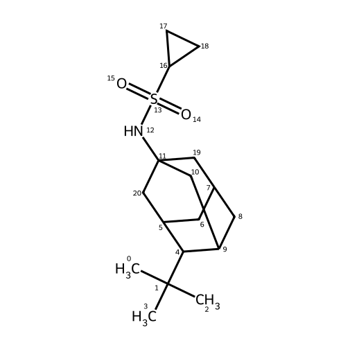 CC(C)(C)C1C2CC3CC1CC(NS(=O)(=O)C1CC1)(C3)C2